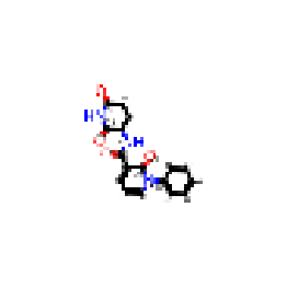 O=C1CCC(NC(=O)c2cccn(-c3ccccc3)c2=O)C(=O)N1